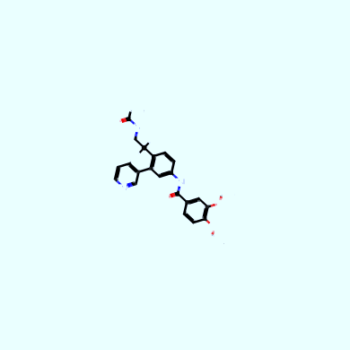 COc1ccc(C(=O)Nc2ccc(C(C)(C)CNC(C)=O)c(-c3cccnc3)c2)cc1OC